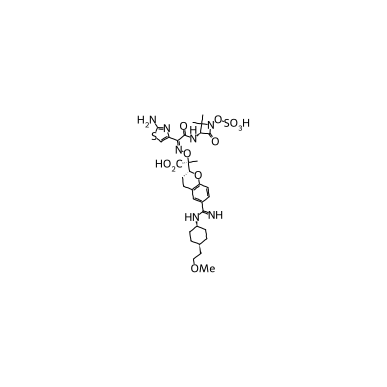 COCC[C@H]1CC[C@@H](NC(=N)c2ccc3c(c2)CC[C@H]([C@](C)(O/N=C(\C(=O)N[C@@H]2C(=O)N(OS(=O)(=O)O)C2(C)C)c2csc(N)n2)C(=O)O)O3)CC1